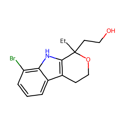 CCC1(CCO)OCCc2c1[nH]c1c(Br)cccc21